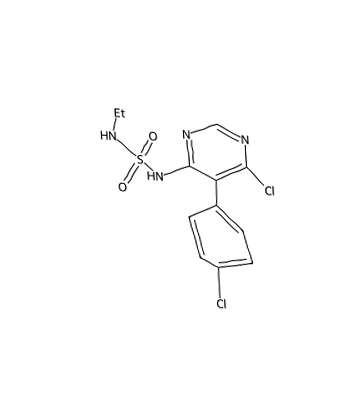 CCNS(=O)(=O)Nc1ncnc(Cl)c1-c1ccc(Cl)cc1